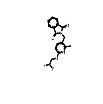 Cc1nc(OCC(F)F)ccc1CN1C(=O)c2ccccc2C1=O